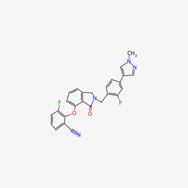 Cn1cc(-c2ccc(CN3Cc4cccc(Oc5c(F)cccc5C#N)c4C3=O)c(F)c2)cn1